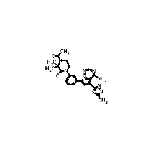 CC(=O)N1CCN(c2cccc(-c3cc(-c4nnc(C)s4)c4c(N)ncnn34)c2)C(=O)C1(C)C